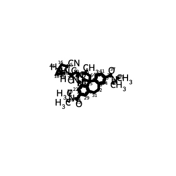 Cc1nnc(C2(C[C@H](C)NCC(=O)N3C(C#N)C[C@@H]4C[C@@H]43)c3ccc(C(=O)N(C)C)cc3CCc3cc(C(=O)N(C)C)ccc32)o1